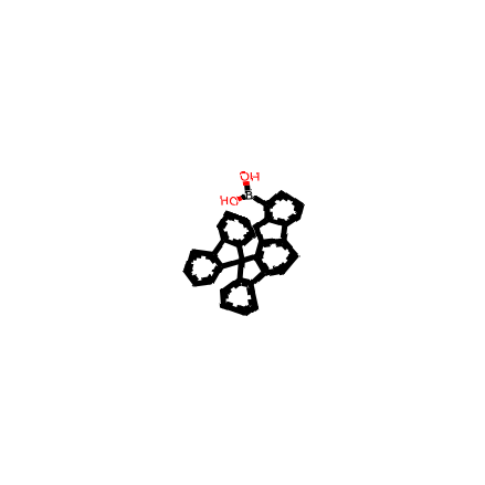 OB(O)c1cccc2c1Cc1c-2ccc2c1C1(c3ccccc3-c3ccccc31)c1ccccc1-2